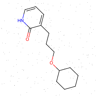 O=c1[nH]cccc1CCCOC1CCCCC1